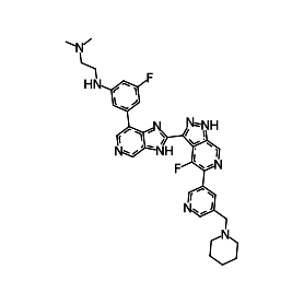 CN(C)CCNc1cc(F)cc(-c2cncc3[nH]c(-c4n[nH]c5cnc(-c6cncc(CN7CCCCC7)c6)c(F)c45)nc23)c1